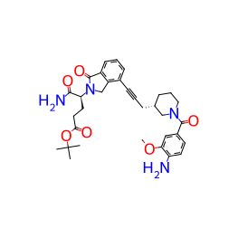 COc1cc(C(=O)N2CCC[C@@H](CC#Cc3cccc4c3CN([C@@H](CCC(=O)OC(C)(C)C)C(N)=O)C4=O)C2)ccc1N